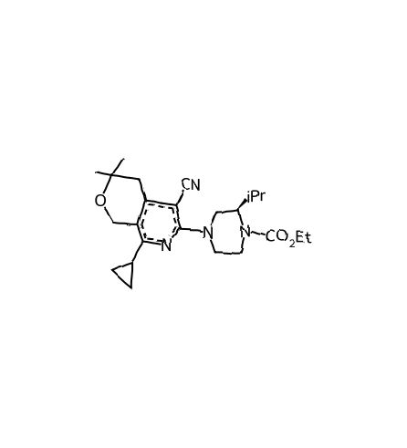 CCOC(=O)N1CCN(c2nc(C3CC3)c3c(c2C#N)CC(C)(C)OC3)C[C@H]1C(C)C